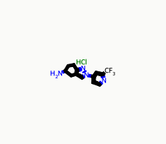 Cl.NC1CCc2nn(-c3ccnc(C(F)(F)F)c3)cc2C1